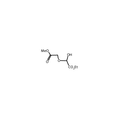 CCOC(=O)C(O)OCC(=O)OC